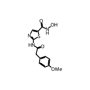 COc1ccc(CC(=O)Nc2ncc(C(=O)NO)s2)cc1